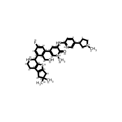 CN1CCC(c2ccc(Nc3cc(-c4cc(F)cc(C5NCCc6c5sc5c6CC(C)(C)C5)c4CO)cn(C)c3=O)nc2)C1